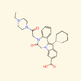 CCN1CCN(C(=O)CN2C(=O)Cn3c(c(C4CCCCC4)c4ccc(C(=O)O)cc43)-c3ccccc32)CC1